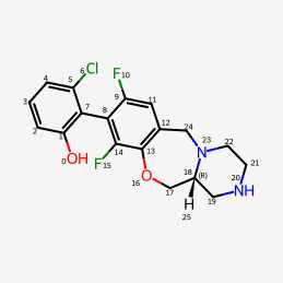 Oc1cccc(Cl)c1-c1c(F)cc2c(c1F)OC[C@H]1CNCCN1C2